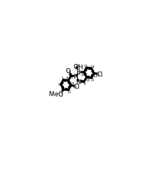 COc1ccc(C(=O)N2N=Cc3cc(Cl)ccc3B2O)c(Cl)c1